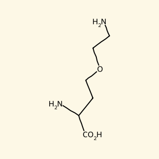 NCCOCCC(N)C(=O)O